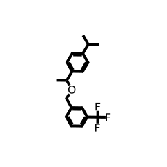 CC(C)c1ccc(C(C)OCc2cccc(C(F)(F)F)c2)cc1